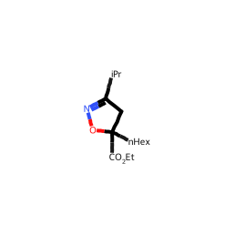 CCCCCCC1(C(=O)OCC)CC(C(C)C)=NO1